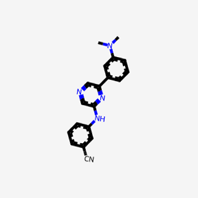 CN(C)c1cccc(-c2cncc(Nc3cccc(C#N)c3)n2)c1